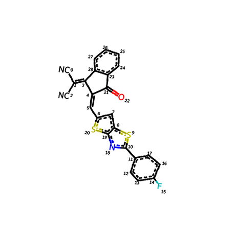 N#CC(C#N)=C1/C(=C/c2cc3sc(-c4ccc(F)cc4)nc3s2)C(=O)c2ccccc21